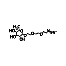 CC1OC(OCCOCCOCCN=[N+]=[N-])C(O)C(O)C1O